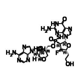 Nc1nc2c(ncn2[C@@H]2O[C@H](CCO)[C@@H](F)[C@H]2P(=O)(S)OC[C@@]23CO[C@@H]([C@H](n4cnc5c(N)ncnc54)O2)[C@@H]3O)c(=O)[nH]1